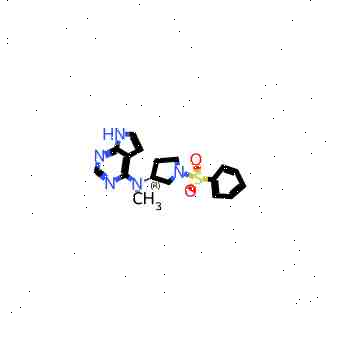 CN(c1ncnc2[nH]ccc12)[C@@H]1CCN(S(=O)(=O)c2ccccc2)C1